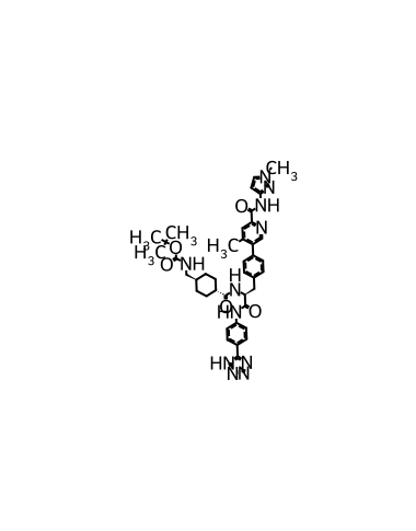 Cc1cc(C(=O)Nc2ccn(C)n2)ncc1-c1ccc(C[C@H](NC(=O)[C@H]2CC[C@H](CNC(=O)OC(C)(C)C)CC2)C(=O)Nc2ccc(-c3nnn[nH]3)cc2)cc1